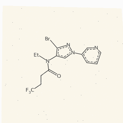 CCN(C(=O)CCC(F)(F)F)c1cn(-c2cccnc2)nc1Br